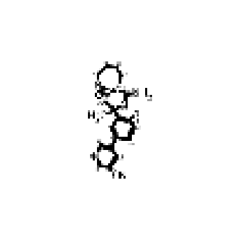 C[C@@]1(c2cc(-c3cncc(C#N)c3)ccc2F)C[S@@]2(=O)=NCCCCN2C(N)=N1